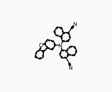 N#Cc1ccc(N(c2ccc3oc4ccccc4c3c2)c2ccc(C#N)c3ccccc23)c2ccccc12